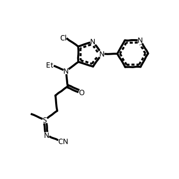 CCN(C(=O)CC/S(C)=N\C#N)c1cn(-c2cccnc2)nc1Cl